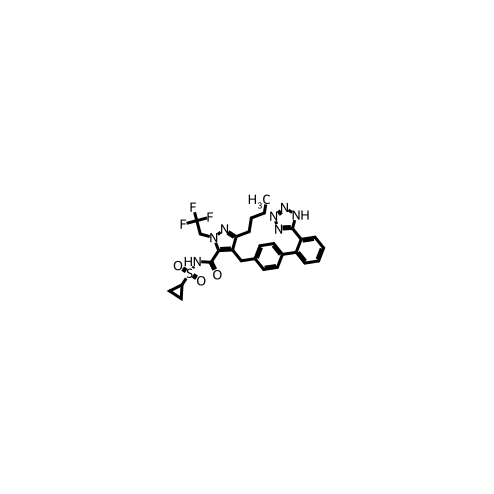 CCCCc1nn(CC(F)(F)F)c(C(=O)NS(=O)(=O)C2CC2)c1Cc1ccc(-c2ccccc2-c2nnn[nH]2)cc1